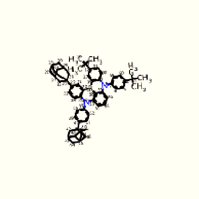 CC(C)(C)c1ccc(N2c3ccc(C(C)(C)C)cc3B3c4cc(C56CC7CC(CC(C7)C5)C6)ccc4N(c4ccc(C56CC7CC8(CC(C5)C78)C6)cc4)c4cccc2c43)cc1